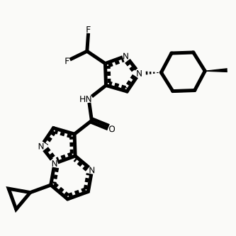 C[C@H]1CC[C@H](n2cc(NC(=O)c3cnn4c(C5CC5)ccnc34)c(C(F)F)n2)CC1